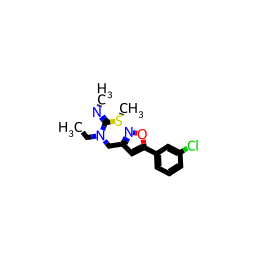 CCN(Cc1cc(-c2cccc(Cl)c2)on1)C(=NC)SC